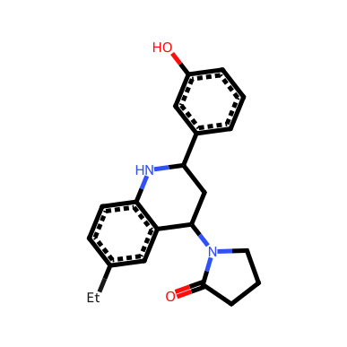 CCc1ccc2c(c1)C(N1CCCC1=O)CC(c1cccc(O)c1)N2